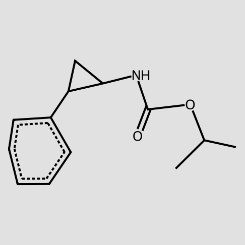 CC(C)OC(=O)NC1CC1c1ccccc1